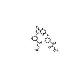 C=CC(=O)Nc1cccc(Oc2cnc3[nH]cc(-c4cncc(NCCC#N)c4)c3n2)c1